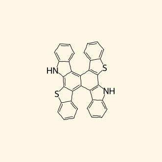 c1ccc2c(c1)[nH]c1c3sc4ccccc4c3c3c4c5ccccc5[nH]c4c4sc5ccccc5c4c3c21